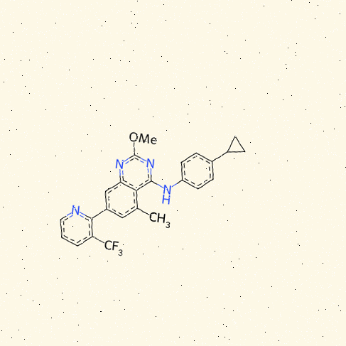 COc1nc(Nc2ccc(C3CC3)cc2)c2c(C)cc(-c3ncccc3C(F)(F)F)cc2n1